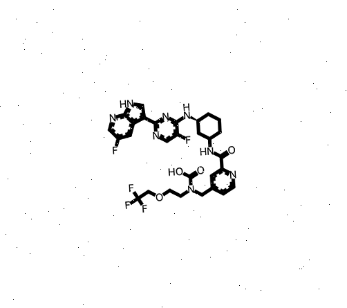 O=C(NC1CCC[C@H](Nc2nc(-c3c[nH]c4ncc(F)cc34)ncc2F)C1)c1cc(CN(CCOCC(F)(F)F)C(=O)O)ccn1